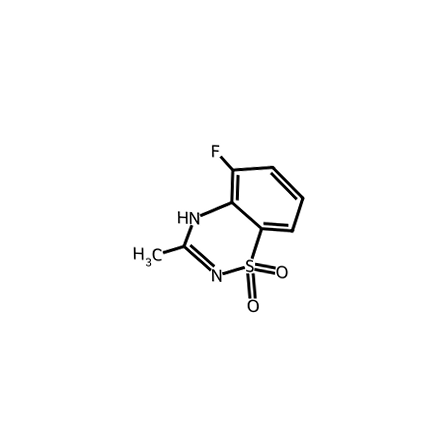 CC1=NS(=O)(=O)c2cccc(F)c2N1